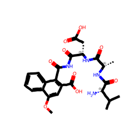 COc1cc(C(=O)O)c(C(=O)NC(=O)[C@H](CC(=O)O)NC(=O)[C@H](C)NC(=O)[C@@H](N)C(C)C)c2ccccc12